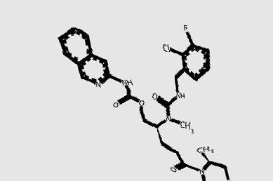 C[C@H]1CNCCN1C(=O)CC[C@@H](COC(=O)Nc1cc2ccccc2cn1)N(C)C(=O)NCc1cccc(F)c1Cl